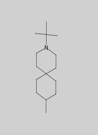 CC1CCC2(CC1)CCN(C(C)(C)C)CC2